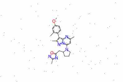 COc1ccc(-c2c(C)nn3c(N4CCCC4Cc4nc(C)no4)cc(C)nc23)c(C)c1